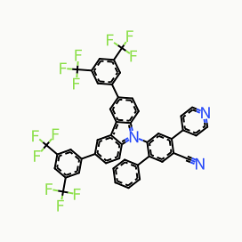 N#Cc1cc(-c2ccccc2)c(-n2c3ccc(-c4cc(C(F)(F)F)cc(C(F)(F)F)c4)cc3c3cc(-c4cc(C(F)(F)F)cc(C(F)(F)F)c4)ccc32)cc1-c1ccncc1